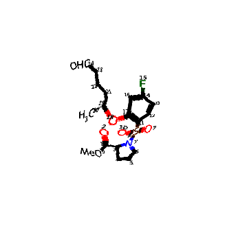 COC(=O)[C@@H]1CCCN1S(=O)(=O)c1ccc(F)cc1O[C@H](C)CCCC=O